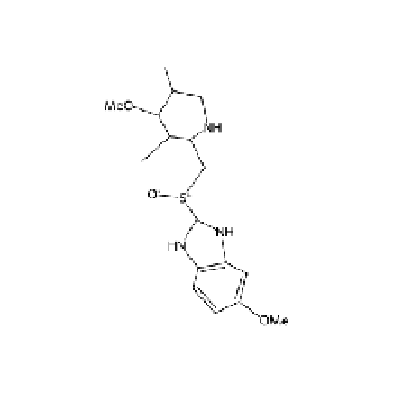 COc1ccc2c(c1)NC([S+]([O-])CC1NCC(C)C(OC)C1C)N2